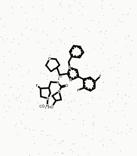 O=C(O)N1CC(F)C(CN(C(=O)N2CC(O)C2)[C@@H](c2nc(-c3cc(F)ccc3F)cn2Cc2ccccc2)C2CCOCC2)C1